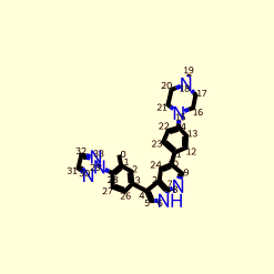 Cc1cc(-c2c[nH]c3ncc(-c4ccc(N5CCN(C)CC5)cc4)cc23)ccc1-n1nccn1